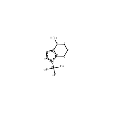 OC1CCCc2c1ccn2C(F)(F)F